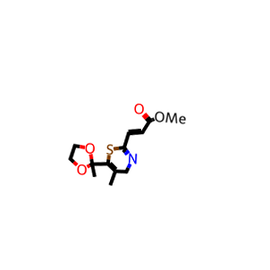 COC(=O)/C=C/C1=NCC(C)=C(C2(C)OCCO2)S1